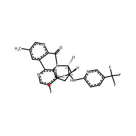 Cc1cnc(C(=O)N2C[C@@H]3CC[C@H]2[C@H](Nc2ccc(C(F)(F)F)cn2)C3)c(-c2ncc(F)cn2)c1